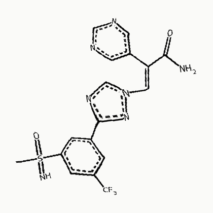 CS(=N)(=O)c1cc(-c2ncn(/C=C(/C(N)=O)c3cncnc3)n2)cc(C(F)(F)F)c1